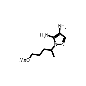 COCCCC(C)n1ncc(N)c1N